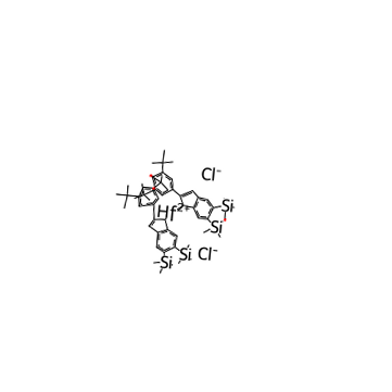 CC(C)(C)c1cc(C2=Cc3cc([Si](C)(C)C)c([Si](C)(C)C)cc3[CH]2[Hf+2][CH]2C(c3cc(C(C)(C)C)cc(C(C)(C)C)c3)=Cc3cc([Si](C)(C)C)c([Si](C)(C)C)cc32)cc(C(C)(C)C)c1.[Cl-].[Cl-]